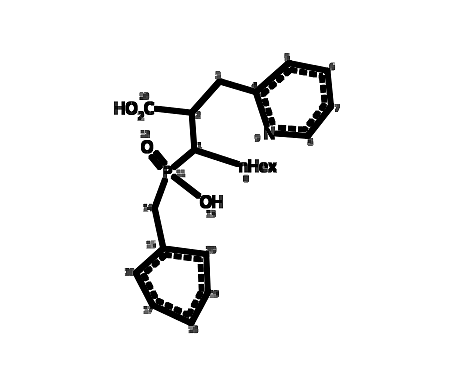 CCCCCCC(C(Cc1ccccn1)C(=O)O)P(=O)(O)Cc1ccccc1